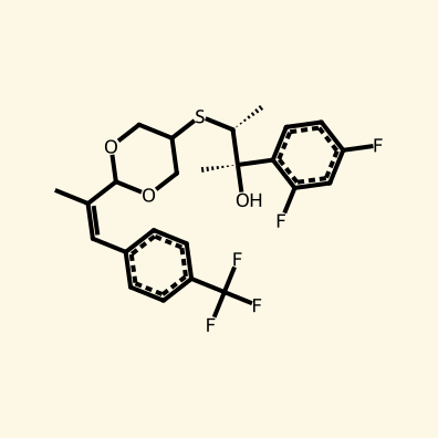 CC(=Cc1ccc(C(F)(F)F)cc1)C1OCC(S[C@H](C)[C@](C)(O)c2ccc(F)cc2F)CO1